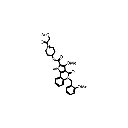 COc1ccccc1Cn1c(=O)c2c(OC)c(C(=O)NC3CCN(C(=O)COC(C)=O)CC3)n(C)c2c2ccccc21